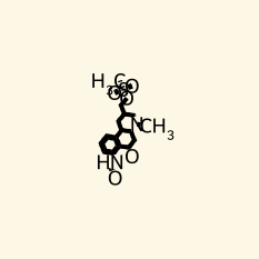 CN1CC(COS(C)(=O)=O)CC2c3cccc(NC=O)c3C(=O)CC21